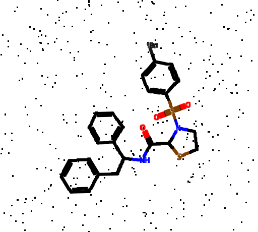 CC(C)(C)c1ccc(S(=O)(=O)N2CCSC2C(=O)NC(Cc2ccccc2)c2ccccc2)cc1